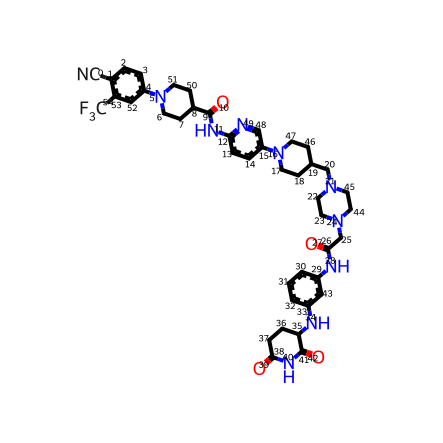 N#Cc1ccc(N2CCC(C(=O)Nc3ccc(N4CCC(CN5CCN(CC(=O)Nc6cccc(NC7CCC(=O)NC7=O)c6)CC5)CC4)cn3)CC2)cc1C(F)(F)F